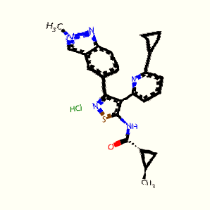 C[C@@H]1C[C@H]1C(=O)Nc1snc(-c2ccc3nn(C)cc3c2)c1-c1cccc(C2CC2)n1.Cl